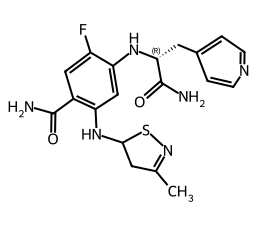 CC1=NSC(Nc2cc(N[C@H](Cc3ccncc3)C(N)=O)c(F)cc2C(N)=O)C1